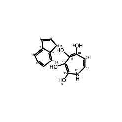 C1=Cc2ccccc2C1.OC1=C(O)C(O)=C(O)NC=C1